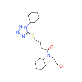 O=C(CCCSc1nnnn1C1CCCCC1)N(CCO)C1CCCCC1